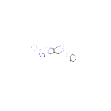 Cn1ncc(-c2cc3cc(NC(=O)c4ccc(F)cc4)ncc3cn2)c1CN1CCCCC1